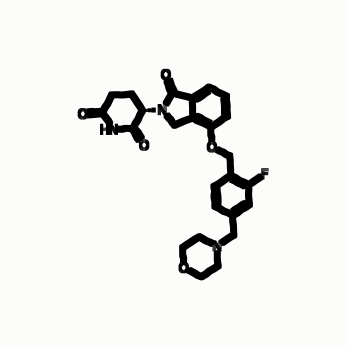 O=C1CC[C@H](N2Cc3c(OCc4ccc(CN5CCOCC5)cc4F)cccc3C2=O)C(=O)N1